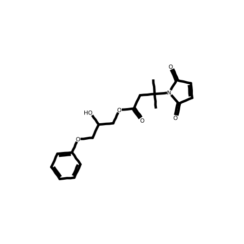 CC(C)(CC(=O)OCC(O)COc1ccccc1)N1C(=O)C=CC1=O